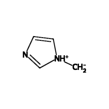 [CH2-][NH+]1C=CN=C1